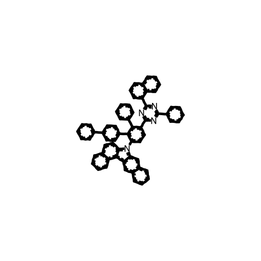 c1ccc(-c2ccc(-c3c(-n4c5cc6ccccc6cc5c5c6ccccc6ccc54)ccc(-c4nc(-c5ccccc5)nc(-c5cccc6ccccc56)n4)c3-c3ccccc3)cc2)cc1